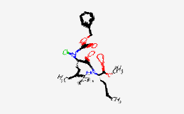 CCCC[C@H](NC(=O)[C@H](CC(C)C)N(Cl)C(=O)OCc1ccccc1)C(=O)OC